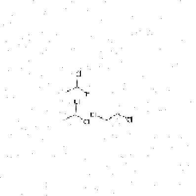 CC(Cl)Cl.CC(F)Cl.ClCCCl